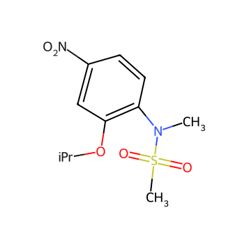 CC(C)Oc1cc([N+](=O)[O-])ccc1N(C)S(C)(=O)=O